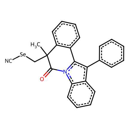 CC1(C[Se]C#N)C(=O)n2c(c(-c3ccccc3)c3ccccc32)-c2ccccc21